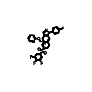 O=S(=O)(c1cc(F)c(F)c(F)c1)N1CCC2=Cc3c(cnn3-c3ccc(F)cc3)C[C@]2(COc2ccccn2)C1